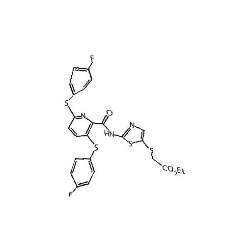 CCOC(=O)CSc1cnc(NC(=O)c2nc(Sc3ccc(F)cc3)ccc2Sc2ccc(F)cc2)s1